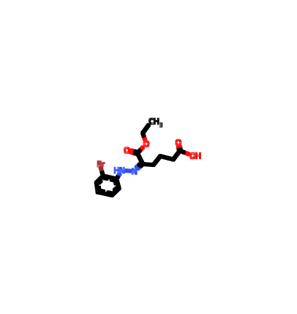 CCOC(=O)C(CCCC(=O)O)=NNc1ccccc1Br